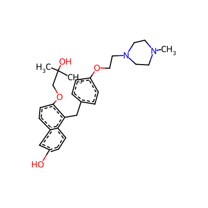 CN1CCN(CCOc2ccc(Cc3c(OCC(C)(C)O)ccc4cc(O)ccc34)cc2)CC1